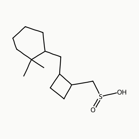 CC1(C)CCCCC1CC1CCC1CS(=O)O